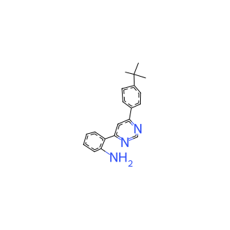 CC(C)(C)c1ccc(-c2cc(-c3ccccc3N)ncn2)cc1